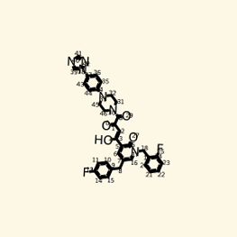 O=C(C=C(O)c1cc(Cc2ccc(F)cc2)cn(Cc2ccccc2F)c1=O)C(=O)N1CCN(c2ccc(-n3cncn3)cc2)CC1